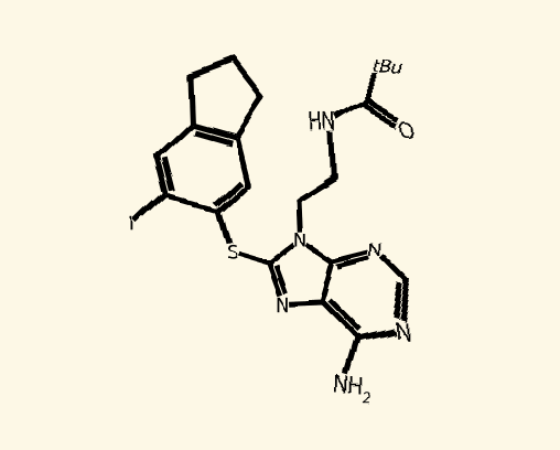 CC(C)(C)C(=O)NCCn1c(Sc2cc3c(cc2I)CCC3)nc2c(N)ncnc21